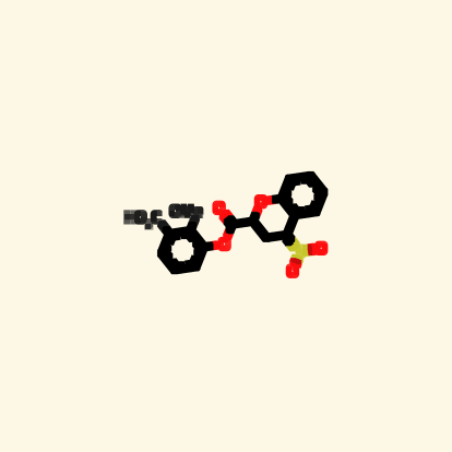 COc1c(OC(=O)C2CC(=S(=O)=O)c3ccccc3O2)cccc1C(=O)O